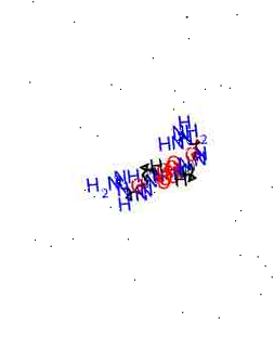 N=C(N)NCC1(c2nnc([C@@H]3CC4(CC4)[C@@H]4CN3C(=O)N4OS(=O)(=O)ON3C(=O)N4C[C@H]3C3(CC3)C[C@H]4c3nnc(C4(CNC(=N)N)CC4)o3)o2)CC1